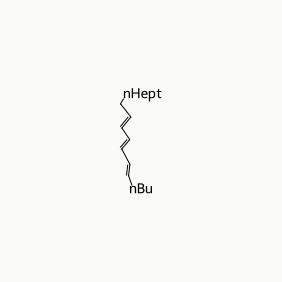 [CH2]CCCCCCC/C=C/C=C/C=C/CCCC